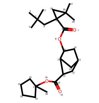 CC(C)(C)CC1(C(=O)OC2CC3CC(C(=O)OC4(C)CCCC4)C2C3)CC1(C)C